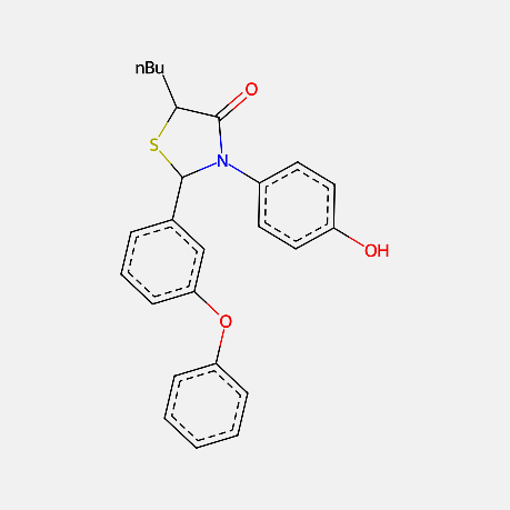 CCCCC1SC(c2cccc(Oc3ccccc3)c2)N(c2ccc(O)cc2)C1=O